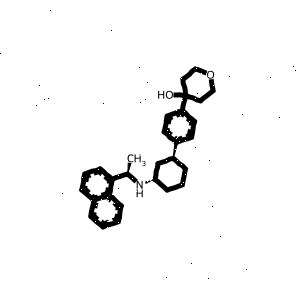 C[C@@H](N[C@H]1CCC[C@H](c2ccc(C3(O)CCOCC3)cc2)C1)c1cccc2ccccc12